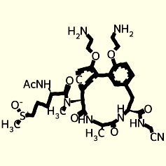 CC(=O)N[C@@H](CCC[S+](C)[O-])C(=O)N(C)[C@@H]1C(=O)N[C@@H](C)C(=O)N[C@H](C(=O)NCC#N)Cc2ccc(OCCN)c(c2)-c2cc1ccc2OCCN